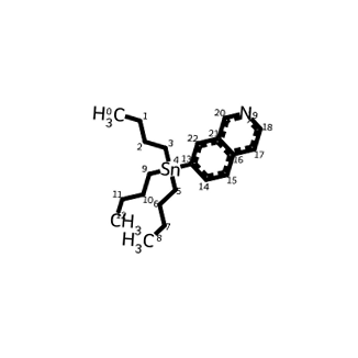 CCC[CH2][Sn]([CH2]CCC)([CH2]CCC)[c]1ccc2ccncc2c1